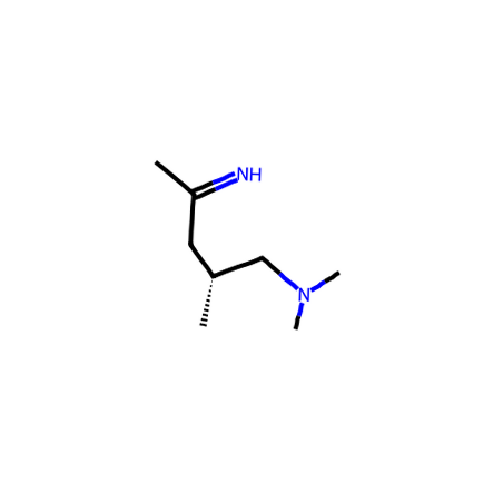 CC(=N)C[C@@H](C)CN(C)C